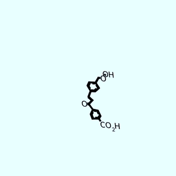 O=C(O)c1ccc(C(=O)/C=C/c2ccc(COO)cc2)cc1